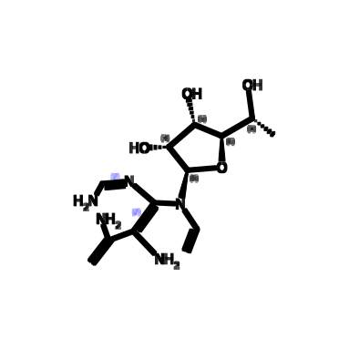 C=CN(C(/N=C\N)=C(\N)C(=C)N)[C@@H]1O[C@H]([C@@H](C)O)[C@@H](O)[C@H]1O